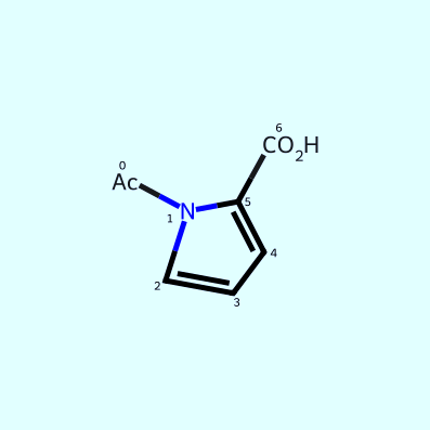 CC(=O)n1cccc1C(=O)O